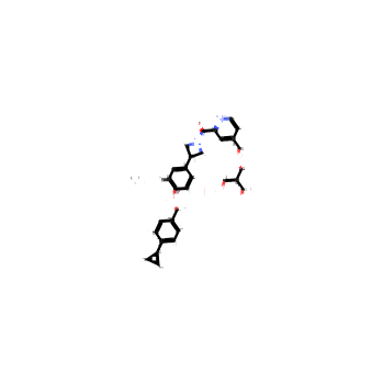 COc1cc(C2CN(C(=O)c3cc(COCC(CO)CO)ccn3)C2)ccc1OCc1ccc(C2CC2)cc1